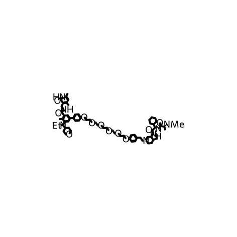 CCN(c1cc(-c2ccc(OCCOCCOCCOCCOCCOc3ccc(CCN4CCC5CCN(C(=O)[C@@H](NC(=O)[C@H](C)NC)C6CCCCC6)C5C4)cc3)cc2)cc(C(=O)NCc2c(C)cc(C)[nH]c2=O)c1C)C1CCOCC1